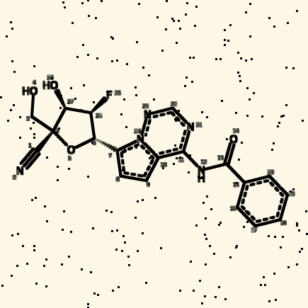 N#C[C@]1(CO)O[C@@H](c2ccc3c(NC(=O)c4ccccc4)ncnn23)[C@H](F)[C@@H]1O